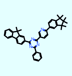 CC1(C)c2ccccc2-c2ccc(-c3nc(-c4ccccc4)nc(-c4ccc(-c5ccc6c(c5)C(C)(C)C(C)(C)C6(C)C)nc4)n3)cc21